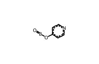 O=BOc1ccncc1